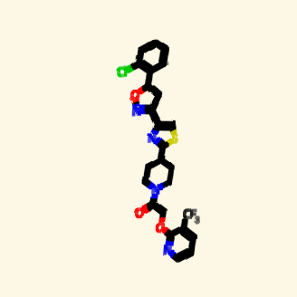 O=C(COc1ncccc1C(F)(F)F)N1CCC(c2nc(C3=NOC(c4[c]cccc4Cl)C3)cs2)CC1